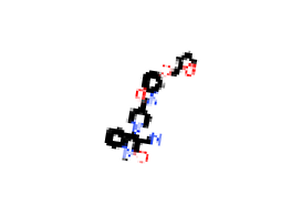 Cn1c(=O)c(C#N)c(N2CCC(c3nc4cc(OCC5CCCO5)ccc4o3)CC2)c2ccccc21